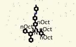 CCCCCCCCc1cc(-c2cc(-c3cc(CCCCCCCC)c(-c4ccc(/C=C/c5ccc(C)cc5)cc4)cc3CCCCCCCC)nc(-c3cc(-c4ccccc4)cc(-c4ccccc4)c3)n2)c(CCCCCCCC)cc1C